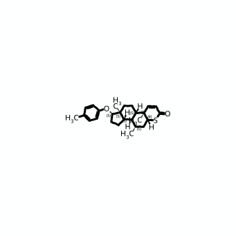 Cc1ccc(O[C@H]2CC[C@H]3[C@@H]4[C@@H](C)C[C@H]5SC(=O)C=C[C@]5(C)[C@H]4CC[C@]23C)cc1